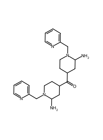 NC1CC(C(=O)C2CCN(Cc3ccccn3)C(N)C2)CCN1Cc1ccccn1